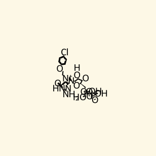 CO[C@H]1[C@@H](O)[C@H](n2c[n+](CCOc3ccc(Cl)cc3)c3c(=O)[nH]c(N)nc32)O[C@@H]1COP(=O)(O)OP(=O)(O)O